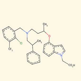 CC(CCN(Cc1cccc(C(F)(F)F)c1Cl)CC(C)c1ccccc1)Oc1cccc2c1ccn2CC(=O)O